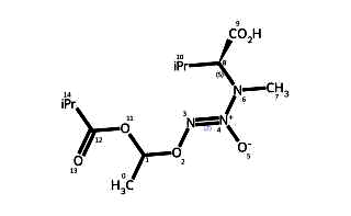 CC(O/N=[N+](\[O-])N(C)[C@H](C(=O)O)C(C)C)OC(=O)C(C)C